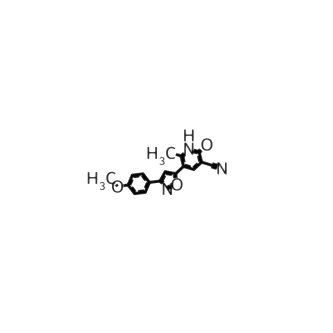 COc1ccc(-c2cc(-c3cc(C#N)c(=O)[nH]c3C)on2)cc1